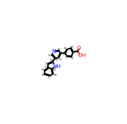 O=C(O)c1ccc(-c2cncc(-c3cc4ccccc4[nH]3)c2)cc1